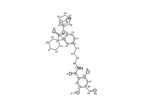 COc1cc(C(=O)NCCCCc2cccc(C3(C(=O)OC4CN5CCC4CC5)CCCCC3)c2)c(Cl)cc1C=O